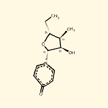 CC[C@H]1O[C@@H](n2ccc(=O)cc2)[C@H](O)[C@@H]1C